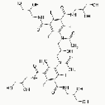 CC(=O)N(CC(O)CN(C(C)=O)c1c(I)c(C(=O)NCC(O)CO)c(I)c(C(=O)NCC(O)CO)c1I)c1c(C)c(C(=O)NCC(O)CO)c(I)c(C(=O)NCC(O)CO)c1I